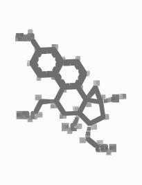 COc1ccc2c3c(ccc2c1)[C@]12C[C@H]1C[C@H](CC(=O)O)[C@@]2(C)C[C@H]3CC(=O)O